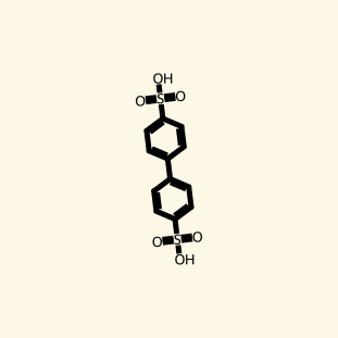 O=S(=O)(O)c1ccc(-c2ccc(S(=O)(=O)O)cc2)cc1